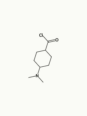 CN(C)C1CCC(C(=O)Cl)CC1